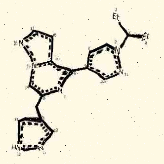 CCC(CC)n1cc(-c2nc(-c3cn[nH]c3)cn3nccc23)cn1